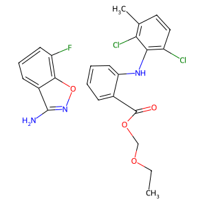 CCOCOC(=O)c1ccccc1Nc1c(Cl)ccc(C)c1Cl.Nc1noc2c(F)cccc12